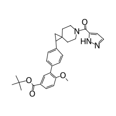 COc1ccc(C(=O)OC(C)(C)C)cc1-c1ccc(C2CC23CCN(C(=O)c2ccn[nH]2)CC3)cc1